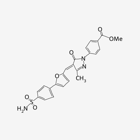 COC(=O)c1ccc(N2N=C(C)/C(=C\c3ccc(-c4ccc(S(N)(=O)=O)cc4)o3)C2=O)cc1